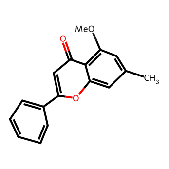 COc1cc(C)cc2oc(-c3ccccc3)cc(=O)c12